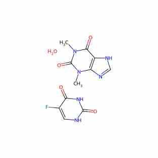 Cn1c(=O)c2[nH]cnc2n(C)c1=O.O.O=c1[nH]cc(F)c(=O)[nH]1